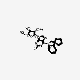 OC[C@H]1O[C@@H](n2cnc3c(N4CC5(CCCC5)c5ccccc54)nc(Cl)nc32)C(O)C1O